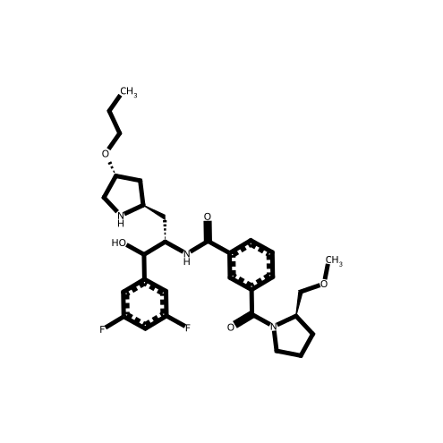 CCCO[C@H]1CN[C@H](C[C@H](NC(=O)c2cccc(C(=O)N3CCC[C@@H]3COC)c2)C(O)c2cc(F)cc(F)c2)C1